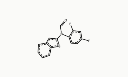 O=CN(c1cc2ccccc2s1)c1ccc(F)cc1F